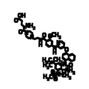 COc1cc(Nc2cc(Oc3ccc(N(C(N)=O)c4cc(C(C)(C)C)cc(NS(C)(=O)=O)c4OC)c4ccccc34)ccn2)ccc1C(=O)NCCN1CCN(C(=O)[C@@H](N)CCC(=O)O)CC1